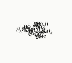 COc1cc(C=CC(=O)N[C@H]2CC[C@H](C)CC2)ccc1OCCN(C)C.O=C(O)C(O)C(O)C(=O)O